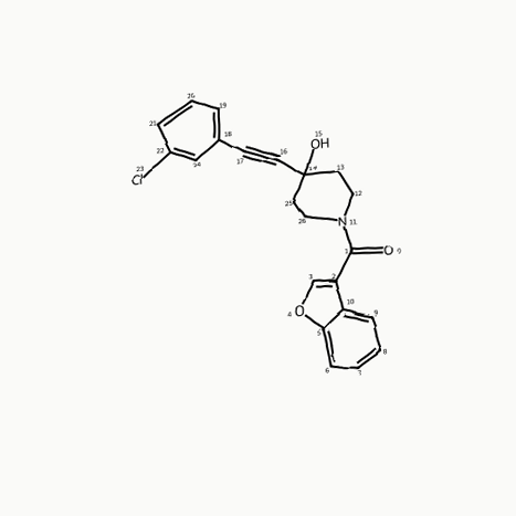 O=C(c1coc2ccccc12)N1CCC(O)(C#Cc2cccc(Cl)c2)CC1